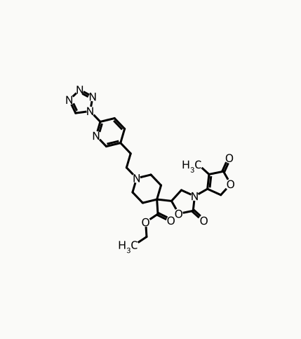 CCOC(=O)C1(C2CN(C3=C(C)C(=O)OC3)C(=O)O2)CCN(CCc2ccc(-n3cnnn3)nc2)CC1